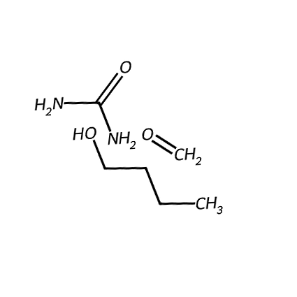 C=O.CCCCO.NC(N)=O